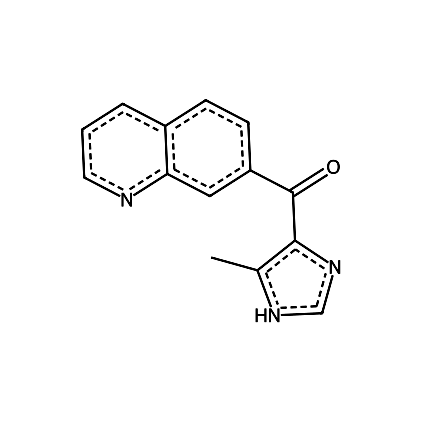 Cc1[nH]cnc1C(=O)c1ccc2cccnc2c1